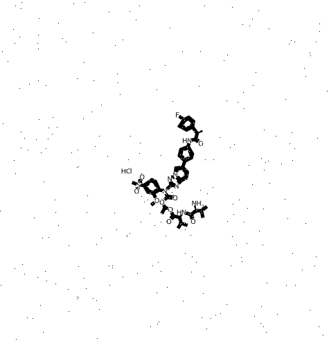 COc1cc(S(C)(=O)=O)ccc1N(C(=O)OC(C)OC(=O)[C@@H](NC(=O)[C@@H](N)C(C)C)C(C)C)c1nc2ccc(-c3ccc(NC(=O)[C@H](C)c4ccc(F)cc4)cc3)cn2n1.Cl